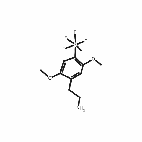 COc1cc(S(F)(F)(F)(F)F)c(OC)cc1CCN